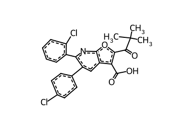 CC(C)(C)C(=O)c1oc2nc(-c3ccccc3Cl)c(-c3ccc(Cl)cc3)cc2c1C(=O)O